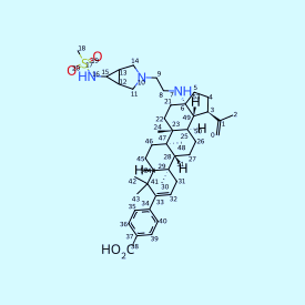 C=C(C)[C@@H]1CC[C@]2(NCCN3CC4C(C3)C4NS(C)(=O)=O)CC[C@]3(C)[C@H](CC[C@@H]4[C@@]5(C)CC=C(c6ccc(C(=O)O)cc6)C(C)(C)[C@@H]5CC[C@]43C)[C@@H]12